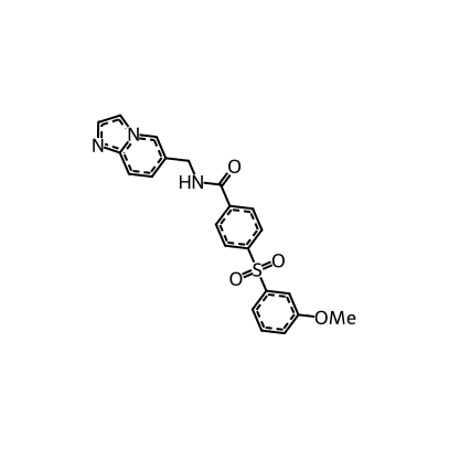 COc1cccc(S(=O)(=O)c2ccc(C(=O)NCc3ccc4nccn4c3)cc2)c1